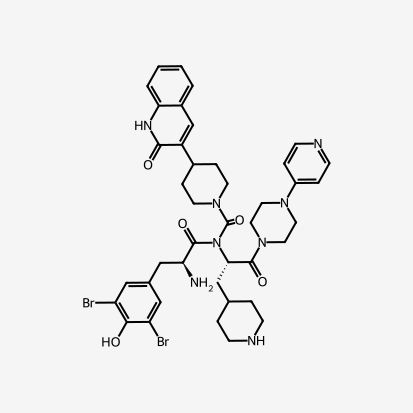 N[C@@H](Cc1cc(Br)c(O)c(Br)c1)C(=O)N(C(=O)N1CCC(c2cc3ccccc3[nH]c2=O)CC1)[C@@H](CC1CCNCC1)C(=O)N1CCN(c2ccncc2)CC1